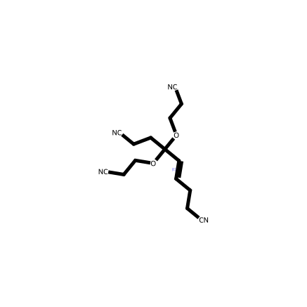 N#CCC/C=C/C(CCC#N)(OCCC#N)OCCC#N